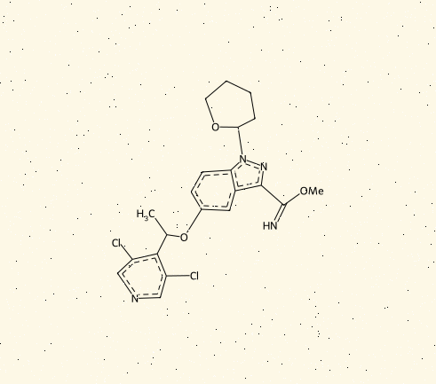 COC(=N)c1nn(C2CCCCO2)c2ccc(OC(C)c3c(Cl)cncc3Cl)cc12